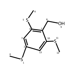 CSc1cc(SC)c(CO)c(SC)c1